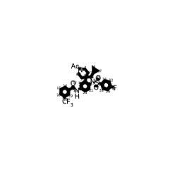 CC(=O)N1CCC2(CC1)c1cc(NC(=O)c3cccc(C(F)(F)F)c3)ccc1N(S(=O)(=O)c1ccc(F)cc1)C2C1CC1